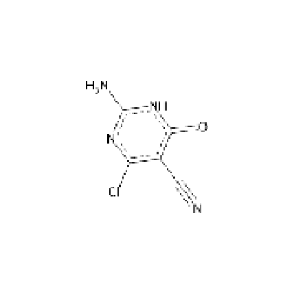 N#Cc1c(Cl)nc(N)[nH]c1=O